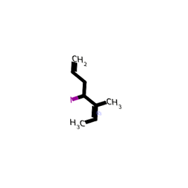 C=CCC(I)/C(C)=C\C